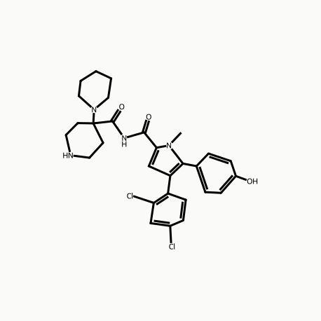 Cn1c(C(=O)NC(=O)C2(N3CCCCC3)CCNCC2)cc(-c2ccc(Cl)cc2Cl)c1-c1ccc(O)cc1